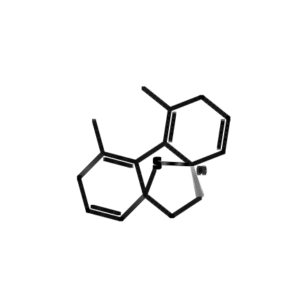 CC1=C2C3=C(C)CC=C[C@]34CCC2(C=CC1)S4